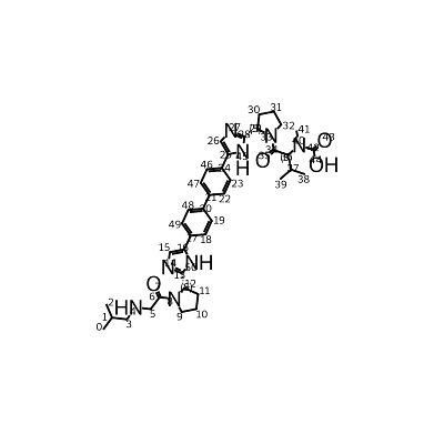 CC(C)CNCC(=O)N1CCC[C@H]1c1ncc(-c2ccc(-c3ccc(-c4cnc([C@@H]5CCCN5C(=O)[C@H](C(C)C)N(C)C(=O)O)[nH]4)cc3)cc2)[nH]1